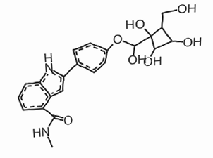 CNC(=O)c1cccc2[nH]c(-c3ccc(OC(O)C4(O)C(O)C(O)C4CO)cc3)cc12